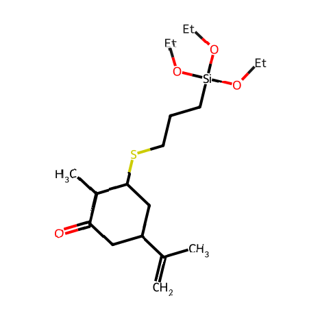 C=C(C)C1CC(=O)C(C)C(SCCC[Si](OCC)(OCC)OCC)C1